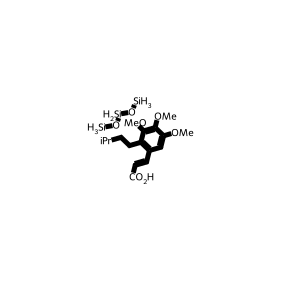 COc1cc(/C=C/C(=O)O)c(CCC(C)C)c(OC)c1OC.[SiH3]O[SiH2]O[SiH3]